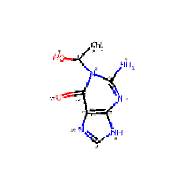 CC(O)n1c(N)nc2[nH]cnc2c1=O